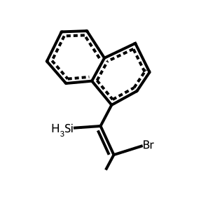 CC(Br)=C([SiH3])c1cccc2ccccc12